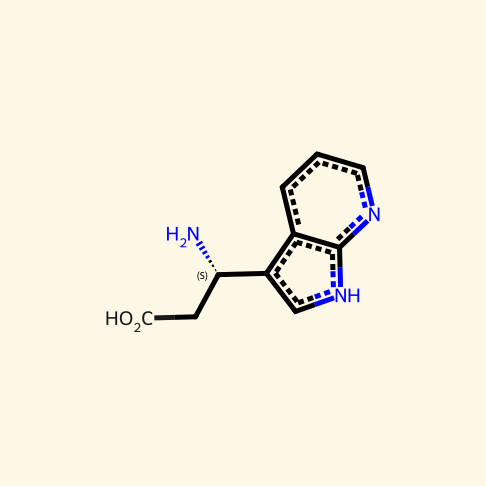 N[C@@H](CC(=O)O)c1c[nH]c2ncccc12